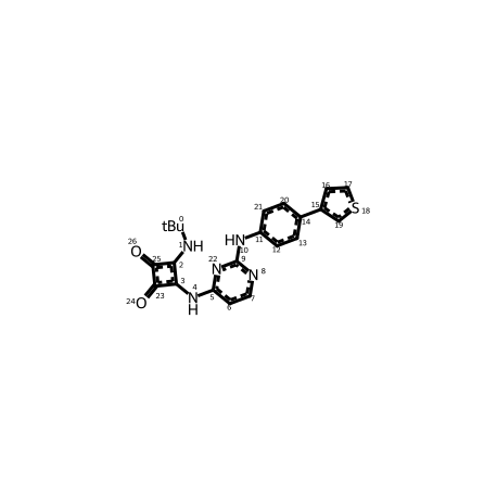 CC(C)(C)Nc1c(Nc2ccnc(Nc3ccc(-c4ccsc4)cc3)n2)c(=O)c1=O